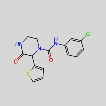 O=C1NCCN(C(=O)Nc2cccc(Cl)c2)C1c1cccs1